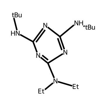 CCN(CC)c1nc(NC(C)(C)C)nc(NC(C)(C)C)n1